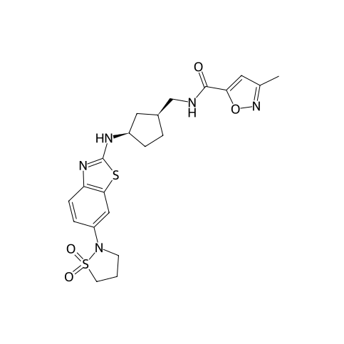 Cc1cc(C(=O)NC[C@H]2CC[C@@H](Nc3nc4ccc(N5CCCS5(=O)=O)cc4s3)C2)on1